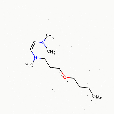 COCCCOCCCN(C)/C=C\N(C)C